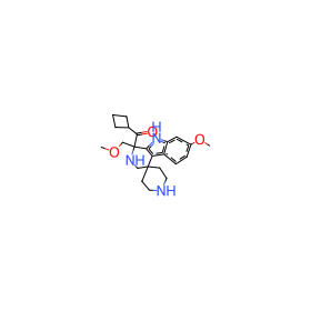 COCC1(C(=O)C2CCC2)NCC2(CCNCC2)c2c1[nH]c1cc(OC)ccc21